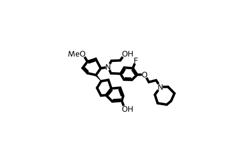 COC1=CC(N(CCO)Cc2ccc(OCCN3CCCCCC3)c(F)c2)C([C@@H]2CCc3cc(O)ccc3C2)C=C1